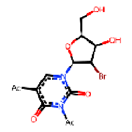 CC(=O)c1cn([C@H]2O[C@@H](CO)C(O)C2Br)c(=O)n(C(C)=O)c1=O